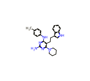 Cc1ccc(Nc2nc(N)nc(N3CCCCC3)c2CCc2c[nH]c3ccccc23)cc1